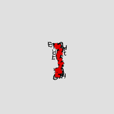 CCOc1cc(N2CCC(N3CCN(CCCc4cc(C)cc5c4oc(=O)n5C4CCC(=O)NC4=O)CC3)CC2)c(CC)cc1Nc1ncc(Br)c(Nc2ccc3nc(CC)ccc3c2P(C)(C)=O)n1